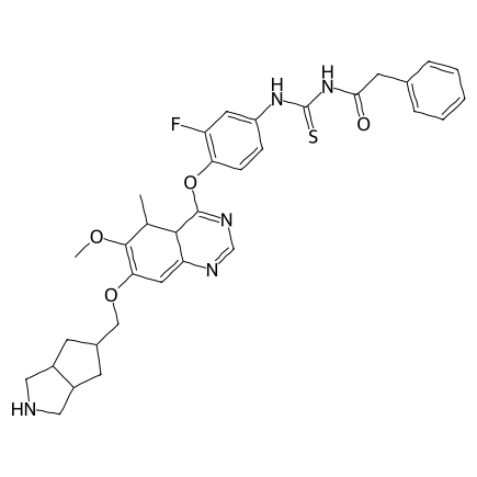 COC1=C(OCC2CC3CNCC3C2)C=C2N=CN=C(Oc3ccc(NC(=S)NC(=O)Cc4ccccc4)cc3F)C2C1C